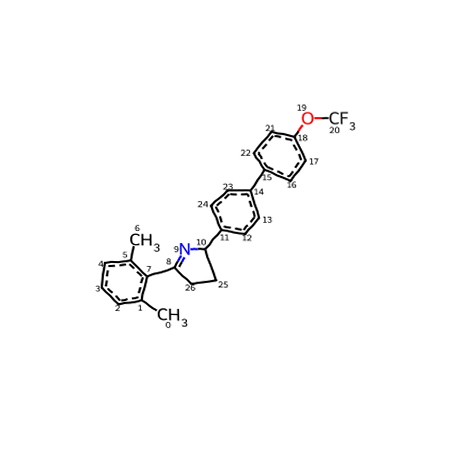 Cc1cccc(C)c1C1=NC(c2ccc(-c3ccc(OC(F)(F)F)cc3)cc2)CC1